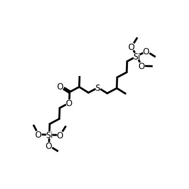 CO[Si](CCCOC(=O)C(C)CSCC(C)CCC[Si](OC)(OC)OC)(OC)OC